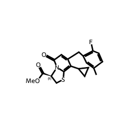 COC(=O)[C@@H]1CSc2c(C3CC3)c(Cc3cc(C)ccc3F)cc(=O)n21